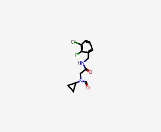 O=CN(CC(=O)NCc1cccc(Cl)c1F)C1CC1